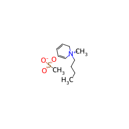 CCCC[N+]1(C)C=CC=CC1.CS(=O)(=O)[O-]